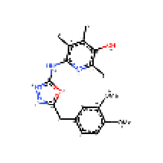 COc1ccc(Cc2nnc(Nc3nc(C)c(O)c(C)c3C)o2)cc1OC